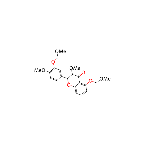 COCOc1cc(C2Oc3cccc(OCOC)c3C(=O)C2OC)ccc1OC